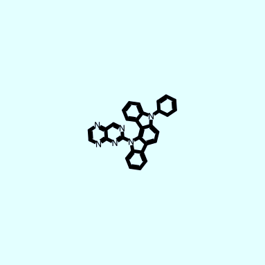 C1=CCC(n2c3ccccc3c3c4c(ccc32)c2ccccc2n4-c2ncc3nccnc3n2)C=C1